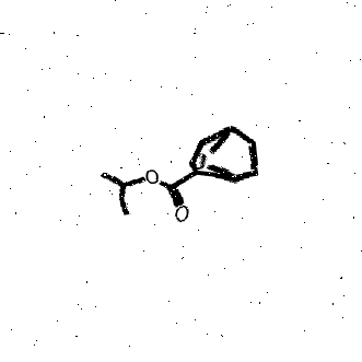 CC(C)OC(=O)C1CC2C=CC1O2